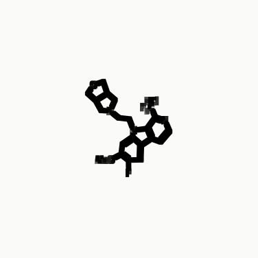 COc1cc2c(cc1F)c1ccnc(C(F)(F)F)c1n2CCN1CC2COCC2C1.Cl